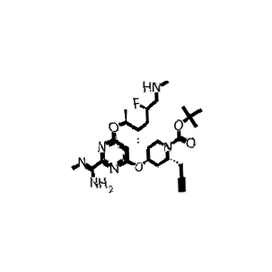 C#CC[C@@H]1C[C@@H](Oc2cc(O[C@@H](C)[C@@H](C)C[C@@H](F)CNC)nc(/C(N)=N/C)n2)CCN1C(=O)OC(C)(C)C